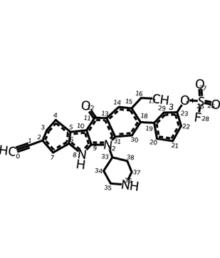 C#Cc1ccc2c(c1)[nH]c1c2c(=O)c2cc(CC)c(-c3cccc(OS(=O)(=O)F)c3)cc2n1C1CCNCC1